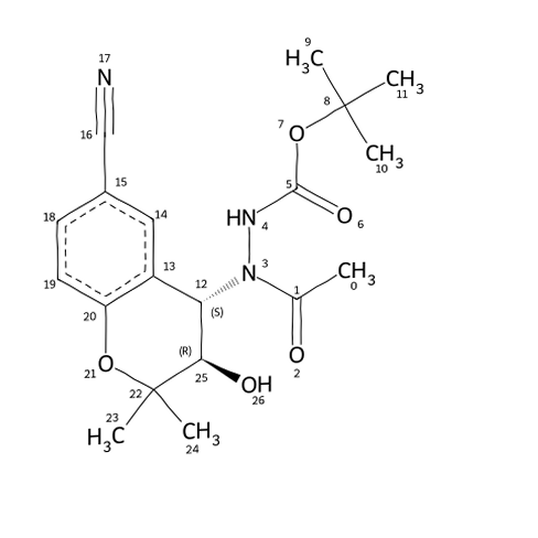 CC(=O)N(NC(=O)OC(C)(C)C)[C@H]1c2cc(C#N)ccc2OC(C)(C)[C@@H]1O